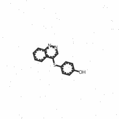 Oc1ccc(Sc2cnnc3ccccc23)cc1